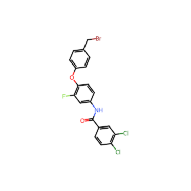 O=C(Nc1ccc(Oc2ccc(CBr)cc2)c(F)c1)c1ccc(Cl)c(Cl)c1